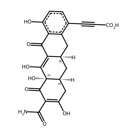 NC(=O)C1=C(O)C[C@@H]2C[C@@H]3Cc4c(C#CC(=O)O)ccc(O)c4C(=O)C3=C(O)[C@]2(O)C1=O